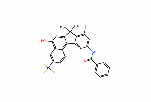 CC1(C)c2cc(O)c3cc(C(F)(F)F)ccc3c2-c2cc(NC(=O)c3ccccc3)cc(Br)c21